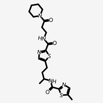 Cc1cnc(C(=O)NC(C)CCc2cnc(C(=O)NCCC(=O)N3CCCCC3)s2)s1